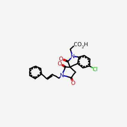 O=C(O)CN1C(=O)C2(CC(=O)N(CC=Cc3ccccc3)C2=O)c2cc(Cl)ccc21